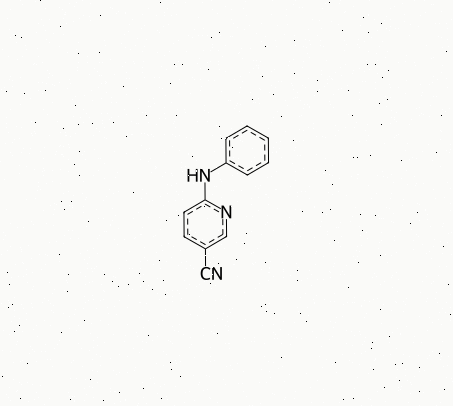 N#Cc1ccc(Nc2ccccc2)nc1